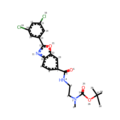 CN(CCNC(=O)c1ccc2nc(-c3cc(Cl)cc(Cl)c3)oc2c1)C(=O)OC(C)(C)C